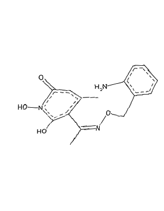 C/C(=N/OCc1ccccc1N)c1c(C)cc(=O)n(O)c1O